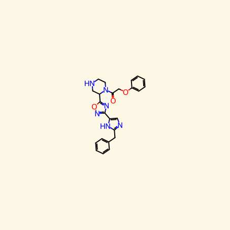 O=C(COc1ccccc1)N1CCNCC1c1nc(-c2cnc(Cc3ccccc3)[nH]2)no1